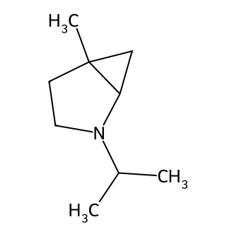 CC(C)N1CCC2(C)CC12